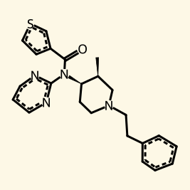 C[C@H]1CN(CCc2ccccc2)CC[C@H]1N(C(=O)c1ccsc1)c1ncccn1